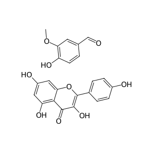 COc1cc(C=O)ccc1O.O=c1c(O)c(-c2ccc(O)cc2)oc2cc(O)cc(O)c12